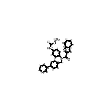 CC(C)(C)OC(=O)Nc1ccc(N(Cc2ccc(-c3cccnc3)cc2)C(=O)c2cc3ccccc3s2)cc1